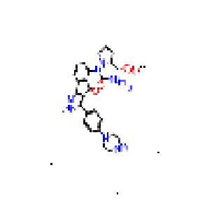 NC(=O)N(c1cccc2c1C(=O)c1c-2n[nH]c1-c1ccc(N2CCNCC2)cc1)N1CCCC1CO